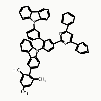 Cc1cc(C)c(-c2ccc3c(c2)c2ccccc2n3-c2ccc(-c3nc(-c4ccccc4)cc(-c4ccccc4)n3)cc2-c2cccc(-n3c4ccccc4c4ccccc43)c2)c(C)c1